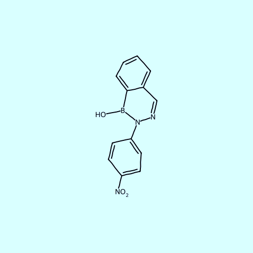 O=[N+]([O-])c1ccc(N2N=Cc3ccccc3B2O)cc1